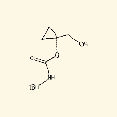 CC(C)(C)NC(=O)OC1(CO)CC1